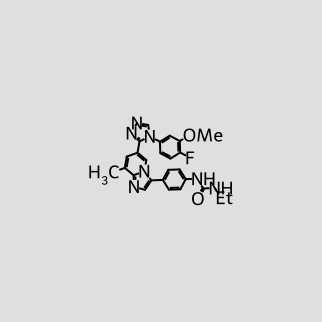 CCNC(=O)Nc1ccc(-c2cnc3c(C)cc(-c4nncn4-c4ccc(F)c(OC)c4)cn23)cc1